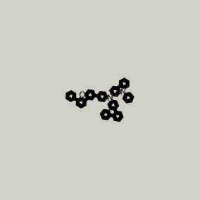 c1ccc(-c2ccccc2-c2ccc(N(c3ccc(-c4ccc5oc6c(-c7ccccc7)cccc6c5c4)cc3)c3ccc4c5ccccc5n(-c5ccccc5)c4c3)cc2)cc1